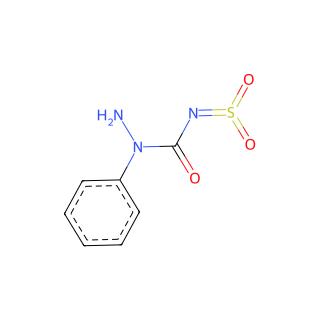 NN(C(=O)N=S(=O)=O)c1ccccc1